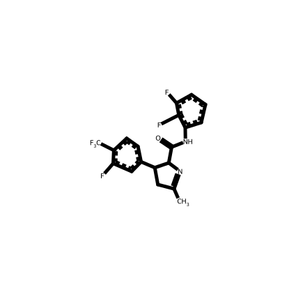 CC1=NC(C(=O)Nc2cccc(F)c2F)C(c2ccc(C(F)(F)F)c(F)c2)C1